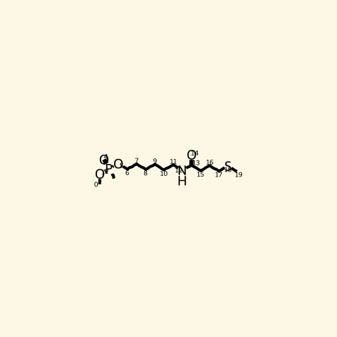 COP(C)(=O)OCCCCCCNC(=O)CCCSC